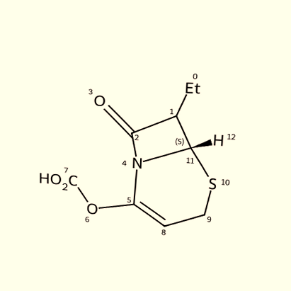 CCC1C(=O)N2C(OC(=O)O)=CCS[C@@H]12